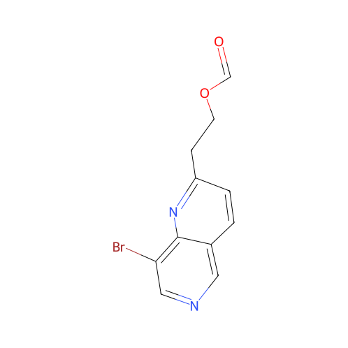 O=COCCc1ccc2cncc(Br)c2n1